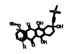 CC(C)(C)O[C@@]12C=C[C@@H](CC1)C1=C2C(=O)c2c(O)c3c(c(O)c2C1=O)CCC(O)(C#C[Si](C)(C)C)C3